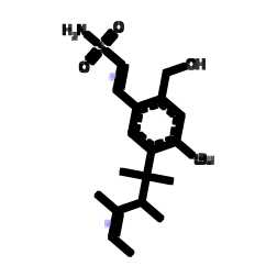 C/C=C(/C)C(C)C(C)(C)c1cc(/C=C/S(N)(=O)=O)c(CO)cc1C(C)(C)C